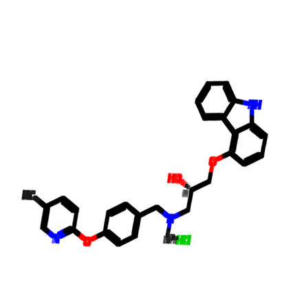 CCCN(Cc1ccc(Oc2ccc(C#N)cn2)cc1)C[C@H](O)COc1cccc2[nH]c3ccccc3c12.Cl